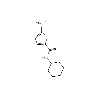 O=C(NC1CCCCC1)c1ccc([N+](=O)[O-])o1